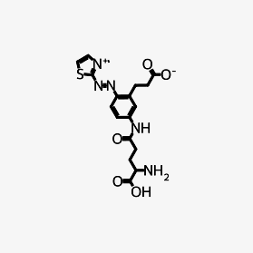 C[n+]1ccsc1/N=N/c1ccc(NC(=O)CCC(N)C(=O)O)cc1CCC(=O)[O-]